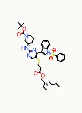 CCCC[C@H](CC)COC(=O)CCSc1cnc(N[C@H]2CCCN(C(=O)OC(C)(C)C)C2)nc1-c1cn(S(=O)(=O)c2ccccc2)c2ccccc12